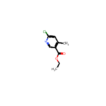 CCOC(=O)c1cnc(Cl)cc1C